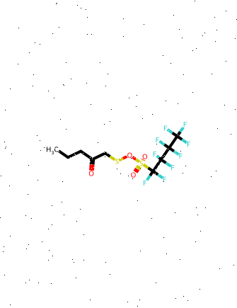 CCCC(=O)CSOS(=O)(=O)C(F)(F)C(F)(F)C(F)(F)C(F)(F)F